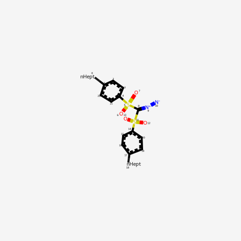 CCCCCCCc1ccc(S(=O)(=O)C(=[N+]=[N-])S(=O)(=O)c2ccc(CCCCCCC)cc2)cc1